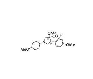 COc1ccc([C@@H]2CN([C@H]3CC[C@H](OC)CC3)C[C@@]2(OC)C(=O)O)cc1